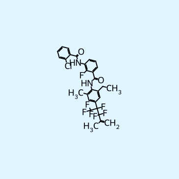 C=C(C)C(F)(F)C(F)(c1cc(C)c(NC(=O)c2cccc(NC(=O)c3ccccc3Cl)c2F)c(CC)c1)C(F)(F)F